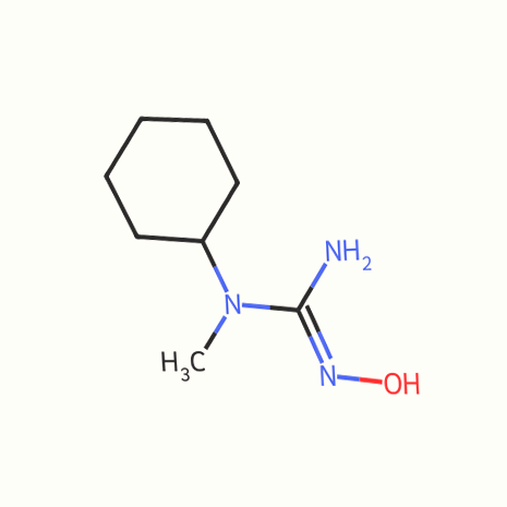 CN(/C(N)=N/O)C1CCCCC1